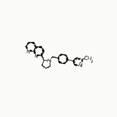 Cn1cc(-c2ccc(CN3CCCC3c3ccc4cccnc4n3)cc2)cn1